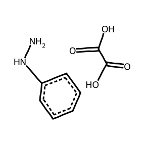 NNc1ccccc1.O=C(O)C(=O)O